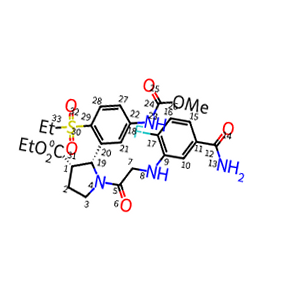 CCOC(=O)[C@H]1CCN(C(=O)CNc2cc(C(N)=O)ccc2F)[C@H]1c1cc(NC(=O)OC)ccc1S(=O)(=O)CC